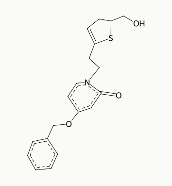 O=c1cc(OCc2ccccc2)ccn1CCC1=CCC(CO)S1